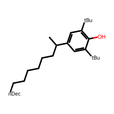 CCCCCCCCCCCCCCCCC(C)c1cc(C(C)(C)C)c(O)c(C(C)(C)C)c1